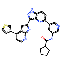 O=C(Nc1cncc(-c2ccc3[nH]nc(-c4cc5c(-c6ccsc6)ccnc5[nH]4)c3n2)c1)C1CCCC1